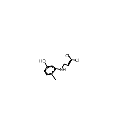 Cc1ccc(O)cc1NCC=C(Cl)Cl